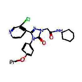 CC(C)Oc1ccc(-n2c(-c3ccncc3Cl)nn(CC(=O)NC3CCCCC3)c2=O)cc1